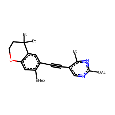 CCCCCCc1cc2c(cc1C#Cc1cnc(OC(C)=O)nc1CC)C(CC)(CC)CCO2